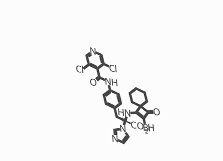 O=C(Nc1ccc(C[C@@](NC2=C(Br)C(=O)C23CCCCC3)(C(=O)O)n2ccnc2)cc1)c1c(Cl)cncc1Cl